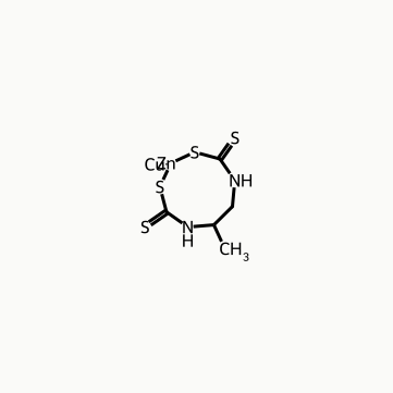 CC1CNC(=S)[S][Zn][S]C(=S)N1.[Cu]